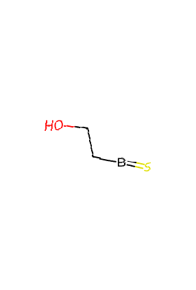 OCCB=S